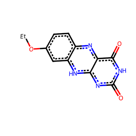 CCOc1ccc2nc3c(=O)[nH]c(=O)nc-3[nH]c2c1